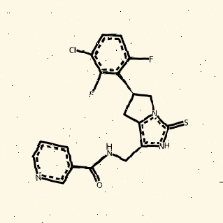 O=C(NCc1[nH]c(=S)n2c1C[C@@H](c1c(F)ccc(Cl)c1F)C2)c1cccnc1